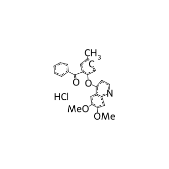 COc1cc2nccc(Oc3ccc(C)cc3C(=O)c3ccccc3)c2cc1OC.Cl